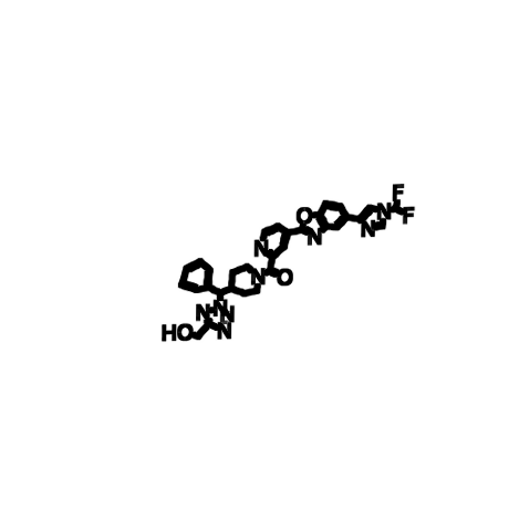 O=C(c1cc(-c2nc3cc(-c4cn(C(F)F)cn4)ccc3o2)ccn1)N1CCC(C(c2ccccc2)n2nnc(CO)n2)CC1